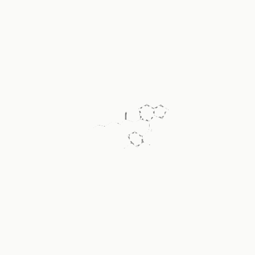 O=C(NOCCO)Oc1ccc2cncn2c1Nc1ccc(I)cc1F